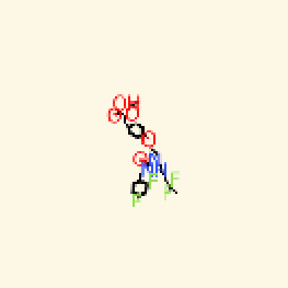 CCOC(Cc1ccc(OCCN(CCCCC(C)(F)F)C(=O)NCc2ccc(F)cc2F)cc1)C(=O)O